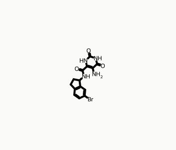 Nc1c(C(=O)NC2CCc3ccc(Br)cc32)[nH]c(=O)[nH]c1=O